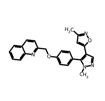 Cc1cc(-c2cnn(C)c2-c2ccc(OCc3ccc4ccccc4n3)cc2)on1